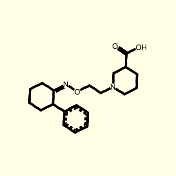 O=C(O)C1CCCN(CCON=C2CCCCC2c2ccccc2)C1